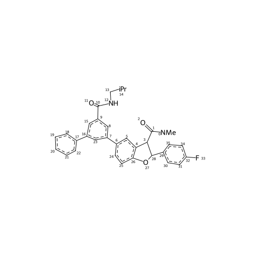 CNC(=O)C1c2cc(-c3cc(C(=O)NCC(C)C)cc(-c4ccccc4)c3)ccc2OC1c1ccc(F)cc1